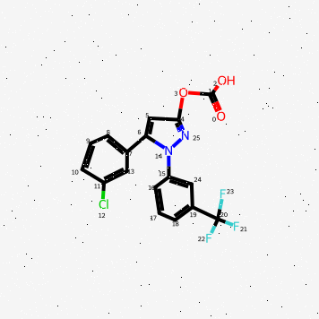 O=C(O)Oc1cc(-c2cccc(Cl)c2)n(-c2cccc(C(F)(F)F)c2)n1